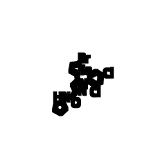 O=C(NC1CCCC1)c1cc(-c2ccc(Br)[se]2)n(-c2ccc(Cl)cc2Cl)n1